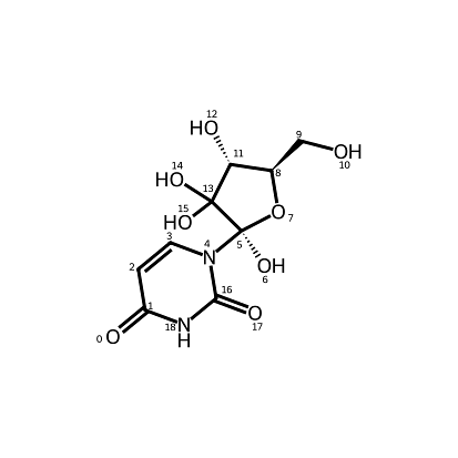 O=c1ccn([C@]2(O)O[C@H](CO)[C@@H](O)C2(O)O)c(=O)[nH]1